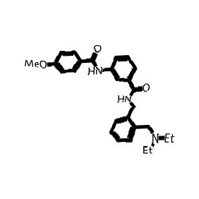 CCN(CC)Cc1ccccc1CNC(=O)c1cccc(NC(=O)c2ccc(OC)cc2)c1